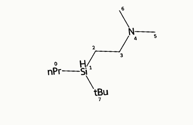 CCC[SiH](CCN(C)C)C(C)(C)C